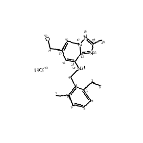 CCc1cccc(C)c1CNc1cc(CCl)cn2nc(C)nc12.Cl